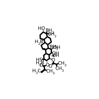 BC1(B)C2CC[C@@]3(B)C4C(=CCC3[C@@]2(B)CC[C@@H]1O)C1C[C@@](B)(S)[C@@H](OC(=O)/C(C)=C\C)[C@H](OC(=O)C(C)C)[C@]1(CO)[C@H](O)[C@@H]4O